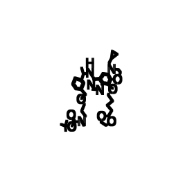 CC(Nc1ncnc2c(OCCCCC3OCCO3)c3c(cc12)N(CC1CC1)CCO3)c1cccc(COCCCN(C)C(=O)OC(C)(C)C)c1